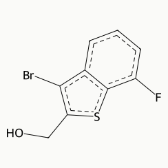 OCc1sc2c(F)cccc2c1Br